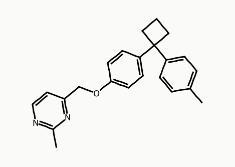 Cc1ccc(C2(c3ccc(OCc4ccnc(C)n4)cc3)CCC2)cc1